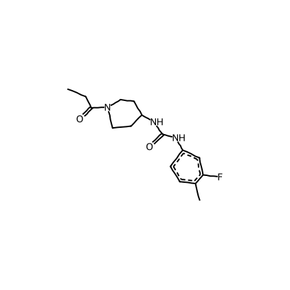 CCC(=O)N1CCC(NC(=O)Nc2ccc(C)c(F)c2)CC1